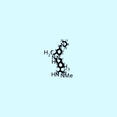 C=C(Nc1cc2cc(/C(C=N)=C(\C)NC)ccc2cn1)c1cccc(CN2CCCC2)c1